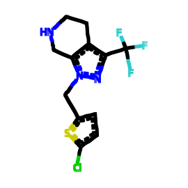 FC(F)(F)c1nn(Cc2ccc(Cl)s2)c2c1CCNC2